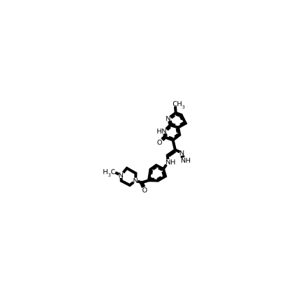 Cc1ccc2cc(/C(=C/Nc3ccc(C(=O)N4CCN(C)CC4)cc3)N=N)c(=O)[nH]c2n1